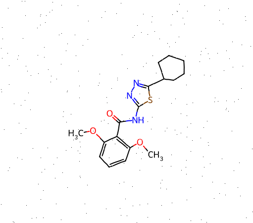 COc1cccc(OC)c1C(=O)Nc1nnc(C2CCCCC2)s1